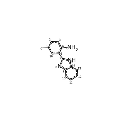 Cc1ccc(N)c(-c2nc3ccccc3[nH]2)c1